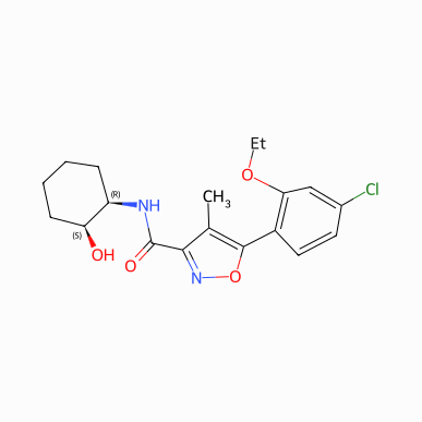 CCOc1cc(Cl)ccc1-c1onc(C(=O)N[C@@H]2CCCC[C@@H]2O)c1C